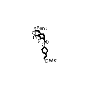 CCCCCc1cc2ccc(C(=O)OC3CCC(/C=C/OC)CC3)c(F)c2c(=O)o1